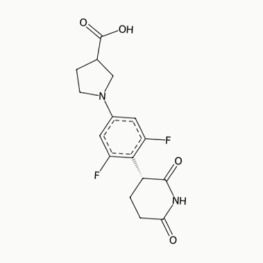 O=C1CC[C@H](c2c(F)cc(N3CCC(C(=O)O)C3)cc2F)C(=O)N1